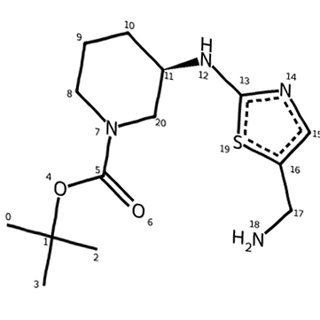 CC(C)(C)OC(=O)N1CCC[C@@H](Nc2ncc(CN)s2)C1